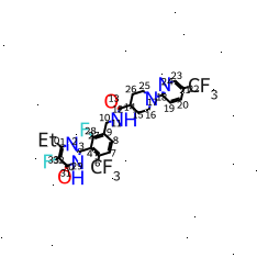 CCc1nc(-c2c(C(F)(F)F)ccc(CNC(=O)C3CCN(c4ccc(C(F)(F)F)cn4)CC3)c2F)[nH]c(=O)c1F